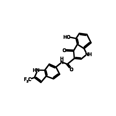 O=C(Nc1ccc2cc(C(F)(F)F)[nH]c2c1)c1c[nH]c2cccc(O)c2c1=O